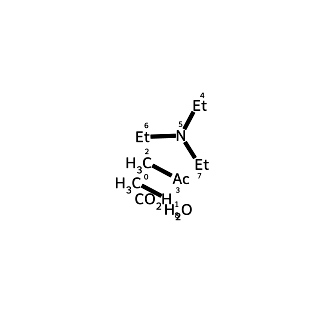 CC(=O)O.CC(C)=O.CCN(CC)CC.O